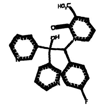 O=C(O)c1cccn(C(c2ccc(F)cc2)C(O)(c2cccnc2)c2cccnc2)c1=O